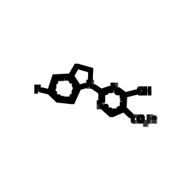 CCOC(=O)c1cnc(N2CCc3cc(F)ccc32)nc1O